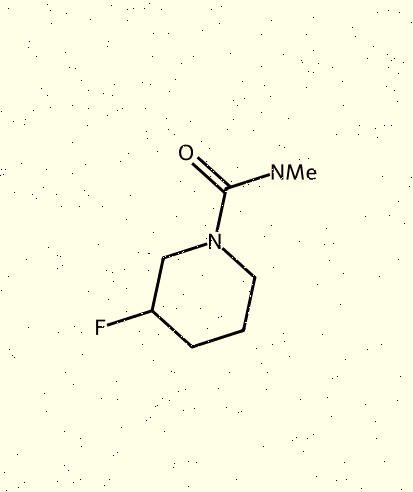 CNC(=O)N1CCCC(F)C1